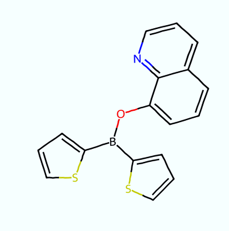 c1csc(B(Oc2cccc3cccnc23)c2cccs2)c1